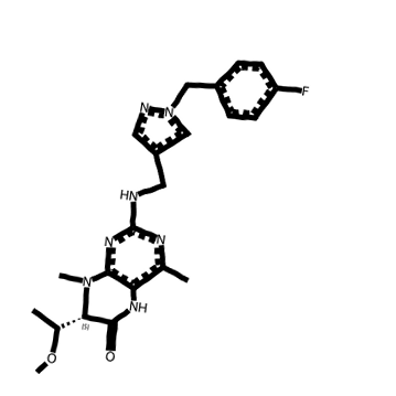 COC(C)[C@H]1C(=O)Nc2c(C)nc(NCc3cnn(Cc4ccc(F)cc4)c3)nc2N1C